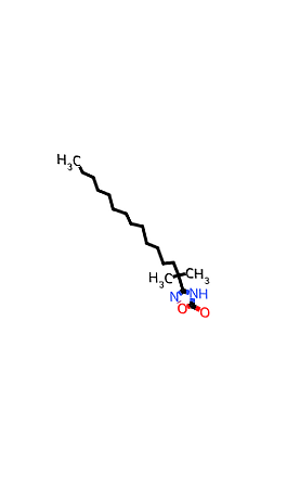 CCCCCCCCCCCCCC(C)(C)c1noc(=O)[nH]1